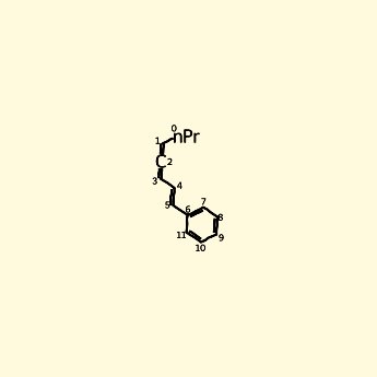 CCCC=C=CC=Cc1ccccc1